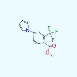 COC(=O)c1ccc(-n2cccc2)cc1C(F)(F)F